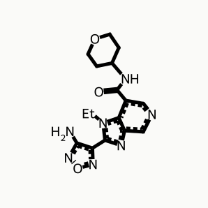 CCn1c(-c2nonc2N)nc2cncc(C(=O)NC3CCOCC3)c21